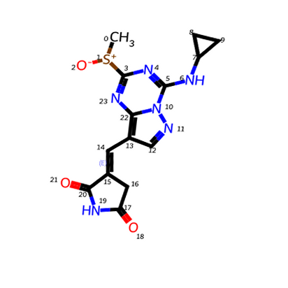 C[S+]([O-])c1nc(NC2CC2)n2ncc(/C=C3\CC(=O)NC3=O)c2n1